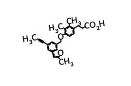 CC#Cc1cc(COc2ccc(CCC(=O)O)c(C)c2C)c2oc(C)cc2c1